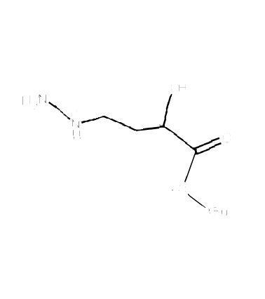 CC(CCNN)C(=O)OC(C)(C)C